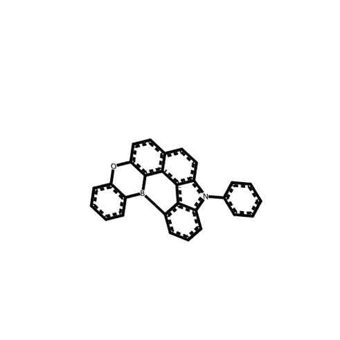 c1ccc(-n2c3cccc4c3c3c5c6c(ccc5ccc32)Oc2ccccc2B64)cc1